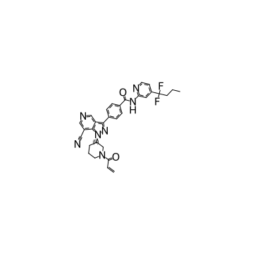 C=CC(=O)N1CCC[C@@H](n2nc(-c3ccc(C(=O)Nc4cc(C(F)(F)CCC)ccn4)cc3)c3cncc(C#N)c32)C1